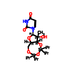 CC(C)[Si]1(C(C)C)OC[C@H]2O[C@@H](n3ccc(=O)[nH]c3=O)[C@](C)(O)[C@@H]2O[Si](C(C)C)(C(C)C)O1